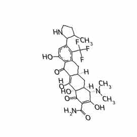 CC1CCNC1c1cc(O)c2c(c1C(F)(F)F)C[C@H]1C[C@H]3[C@H](N(C)C)C(O)=C(C(N)=O)C(=O)[C@@]3(O)C(O)=C1C2=O